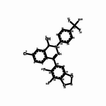 OC1c2cc(Cl)ccc2C(c2cc3c(c(F)c2F)OCO3)=NN1c1ccc(C(F)(F)F)cc1